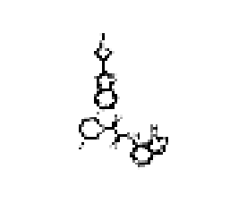 C[C@H]1CC[C@H](c2ccc3sc(C4CN(C)C4)nc3c2)N(C(=O)C(=O)Nc2cncc3cn[nH]c23)C1